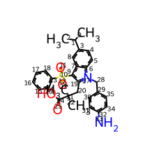 CC(C)c1ccc2c(c1)c(S(=O)(=O)c1ccccc1)c(CC(C)(C)C(=O)O)n2Cc1ccc(N)cc1